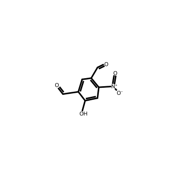 O=Cc1cc(C=O)c([N+](=O)[O-])cc1O